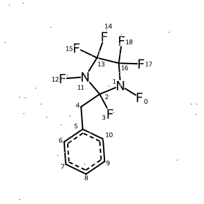 FN1C(F)(Cc2ccccc2)N(F)C(F)(F)C1(F)F